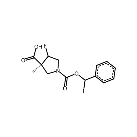 C[C@@]1(C(=O)O)CN(C(=O)OC(I)c2ccccc2)CC1F